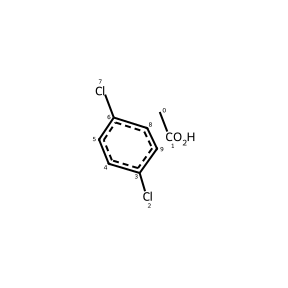 CC(=O)O.Clc1ccc(Cl)cc1